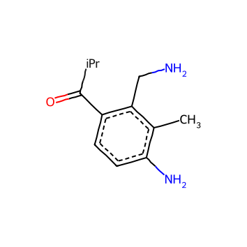 Cc1c(N)ccc(C(=O)C(C)C)c1CN